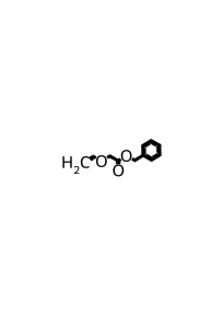 C=COCC(=O)OCc1ccccc1